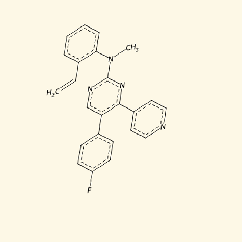 C=Cc1ccccc1N(C)c1ncc(-c2ccc(F)cc2)c(-c2ccncc2)n1